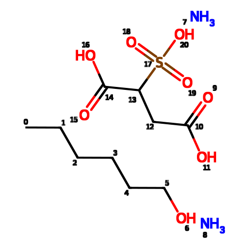 CCCCCCO.N.N.O=C(O)CC(C(=O)O)S(=O)(=O)O